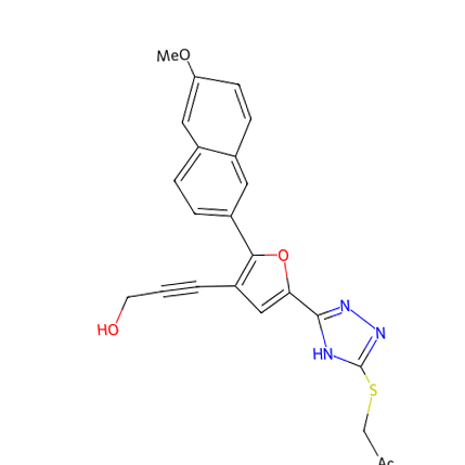 COc1ccc2cc(-c3oc(-c4nnc(SCC(C)=O)[nH]4)cc3C#CCO)ccc2c1